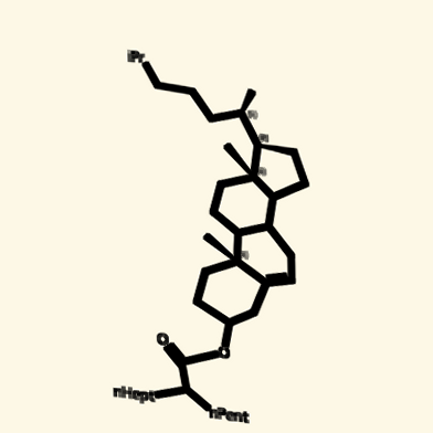 CCCCCCCC(CCCCC)C(=O)OC1CC[C@@]2(C)C(=CCC3C2CC[C@@]2(C)C3CC[C@@H]2[C@H](C)CCCC(C)C)C1